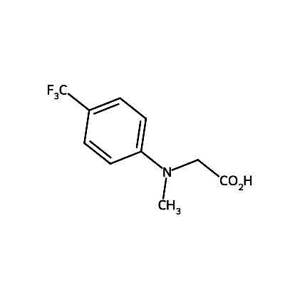 CN(CC(=O)O)c1ccc(C(F)(F)F)cc1